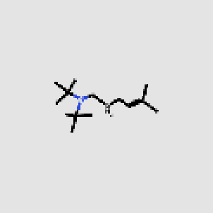 CC(C)=CC[SiH2]CN(C(C)(C)C)C(C)(C)C